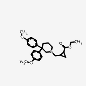 CCOC(=O)C1CC1CN1CCCC(c2ccc(OC)cc2)(c2ccc(OC)cc2)C1